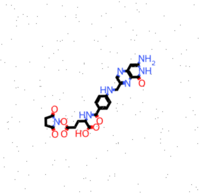 Nc1cc2ncc(CNc3ccc(C(=O)NC(CCC(=O)ON4C(=O)CCC4=O)C(=O)O)cc3)nc2c(=O)[nH]1